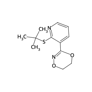 CC(C)(C)Sc1ncccc1C1=NOCCO1